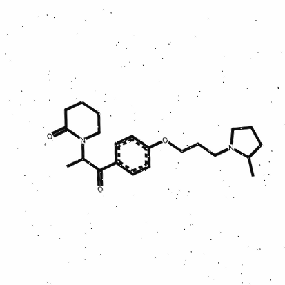 CC1CCCN1CCCOc1ccc(C(=O)C(C)N2CCCCC2=O)cc1